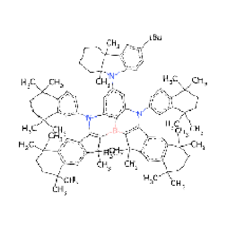 CC(C)(C)c1ccc2c(c1)C1(C)CCCCC1(C)N2c1cc2c3c(c1)N(c1ccc4c(c1)C(C)(C)CCC4(C)C)C1=C(B3C3=C(c4cc5c(cc4C3(C)C)C(C)(C)CCC5(C)C)N2c2ccc3c(c2)C(C)(C)CCC3(C)C)C(C)(C)c2cc3c(cc21)C(C)(C)CCC3(C)C